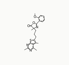 COc1ccccc1C1=NC(C)(CCCc2sc3nc(C)nc(C)c3c2C)C(=O)O1